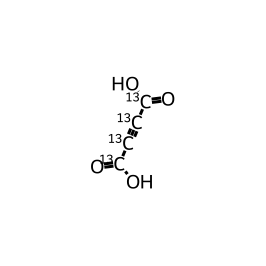 O=[13C](O)[13C]#[13C][13C](=O)O